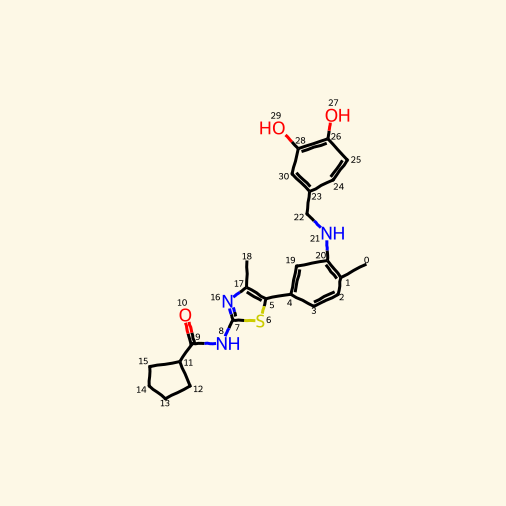 Cc1ccc(-c2sc(NC(=O)C3CCCC3)nc2C)cc1NCc1ccc(O)c(O)c1